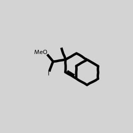 COC(I)C1(C)C=C2CCCC(C2)C1